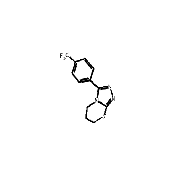 FC(F)(F)c1ccc(-c2nnc3n2CCCS3)cc1